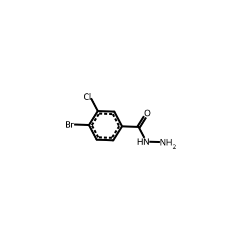 NNC(=O)c1ccc(Br)c(Cl)c1